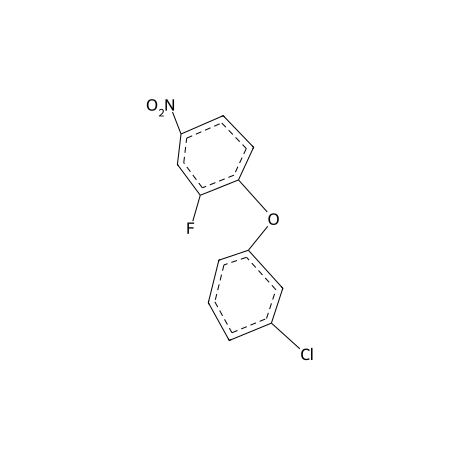 O=[N+]([O-])c1ccc(Oc2cccc(Cl)c2)c(F)c1